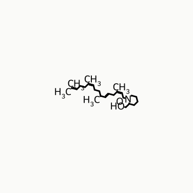 CC(C)=CCCC(C)=CCCC(C)C=CCC(C)=CC(=O)N1CCCCC1CO